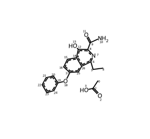 CC(=O)O.CCc1nc(C(N)=O)c(O)c2ccc(Oc3ccccc3)cc12